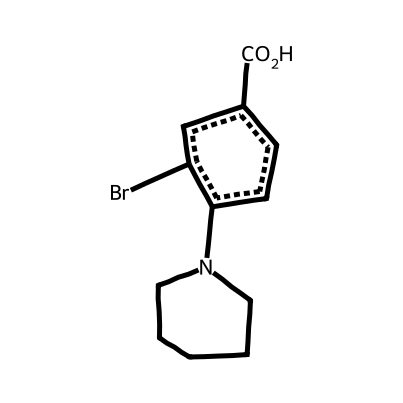 O=C(O)c1ccc(N2CCCCC2)c(Br)c1